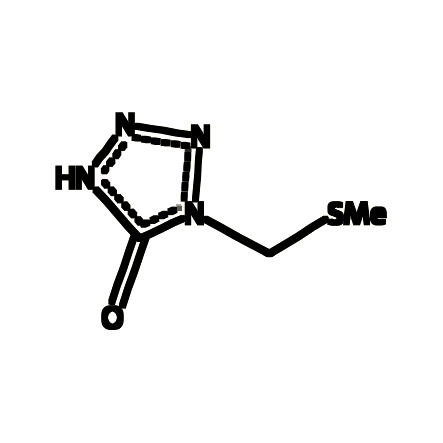 CSCn1nn[nH]c1=O